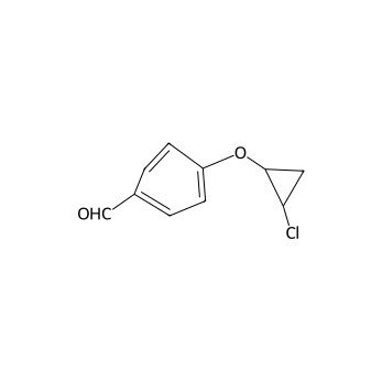 O=Cc1ccc(OC2CC2Cl)cc1